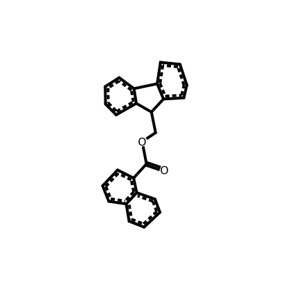 O=C(OCC1c2ccccc2-c2ccccc21)c1cccc2ccccc12